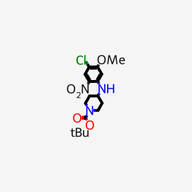 COc1cc(NC2CCN(C(=O)OC(C)(C)C)CC2)c([N+](=O)[O-])cc1Cl